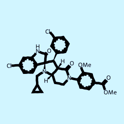 COC(=O)c1ccc(N2CC[C@H]3[C@@H](C2=O)[C@H](c2cccc(Cl)c2)[C@]2(C(=O)Nc4cc(Cl)ccc42)N3CC2CC2)c(OC)c1